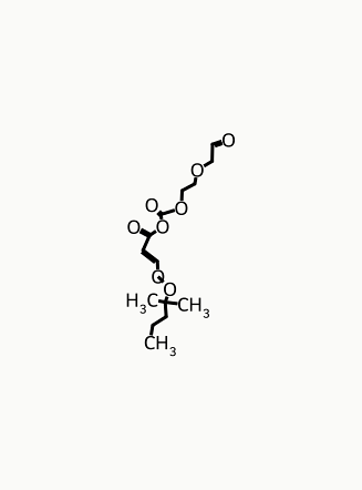 CCCC(C)(C)OOC=CC(=O)OC(=O)OCCOCC=O